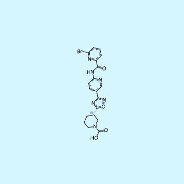 O=C(Nc1ccc(-c2noc([C@H]3CCCN(C(=O)O)C3)n2)cn1)c1cccc(Br)n1